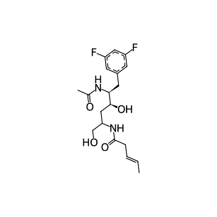 C/C=C/CC(=O)NC(CO)C[C@H](O)[C@H](Cc1cc(F)cc(F)c1)NC(C)=O